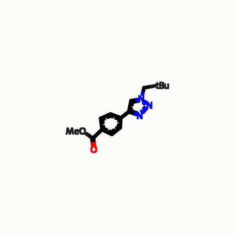 COC(=O)c1ccc(-c2cn(CC(C)(C)C)nn2)cc1